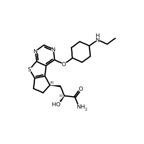 CCNC1CCC(Oc2ncnc3sc4c(c23)[C@@H](C[C@H](O)C(N)=O)CC4)CC1